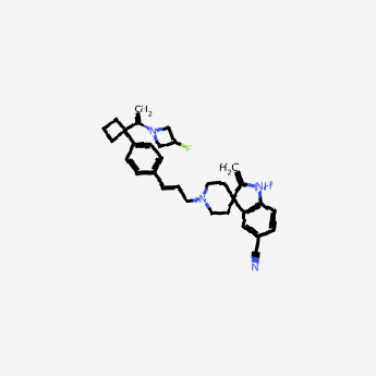 C=C(N1CC(F)C1)C1(c2ccc(CCCN3CCC4(CC3)C(=C)Nc3ccc(C#N)cc34)cc2)CCC1